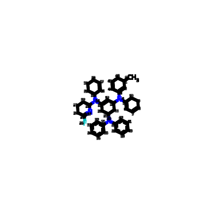 CC1C=C(N(C2=CC=CCC2)C2C=C(N(C3C=CCCC3)C3CCCC(F)=N3)CC(N(c3ccccc3)c3ccccc3)C2)C=CC1